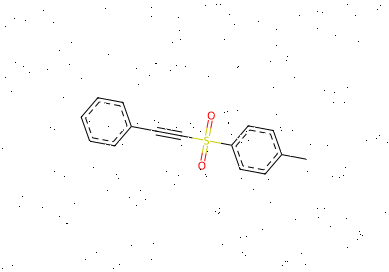 Cc1ccc(S(=O)(=O)C#Cc2ccccc2)cc1